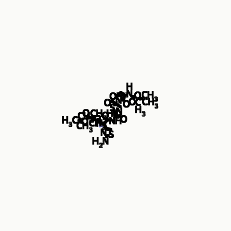 CC(C)(C)OC(=O)N[C@H]1CCN([C@]2(C(=O)O)CN3C(=O)[C@@H](NC(=O)/C(=N\OC(C)(C)C(=O)OC(C)(C)C)c4csc(N)n4)[C@H]3S2)C1=O